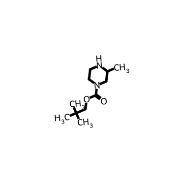 CC1CN(C(=O)OCC(C)(C)C)CCN1